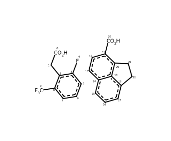 O=C(O)Cc1c(F)cccc1C(F)(F)F.O=C(O)c1ccc2cccc3c2c1CC3